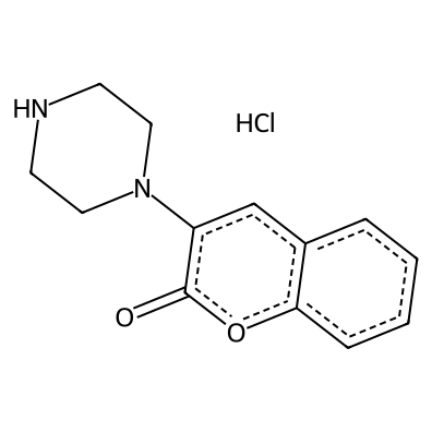 Cl.O=c1oc2ccccc2cc1N1CCNCC1